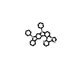 c1ccc(-n2c3ccccc3c3cc4c5c6c7ncccc7c7nccn7c6ccc5n(-c5ccccc5)c4cc32)cc1